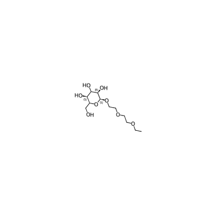 CCOCCOCCO[C@H]1OC(CO)[C@@H](O)C(O)[C@H]1O